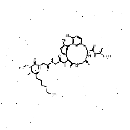 CCCCCCCCCCCCCCCC(=O)N(C)[C@H](CO)C(=O)NCC(=O)NCC(=O)N(C)C1C(=O)NCC(=O)N[C@H](C(=O)N[C@@H](C)C(=O)O)Cc2ccc(O)c(c2)-c2cc1ccc2O